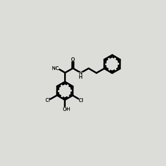 N#CC(C(=O)NCCc1ccccc1)c1cc(Cl)c(O)c(Cl)c1